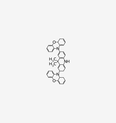 CC1(C)C2=CC(N3c4ccccc4OC4=CC=CCC43)CC=C2Nc2ccc(N3C4=CC=CCC4Oc4ccccc43)cc21